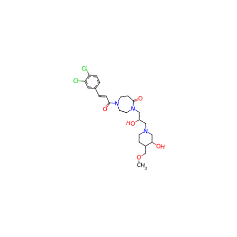 COCC1CCN(CC(O)CN2CCN(C(=O)C=Cc3ccc(Cl)c(Cl)c3)CCC2=O)CC1O